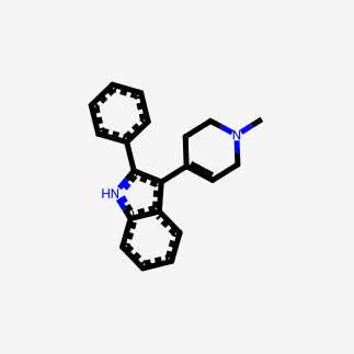 CN1CC=C(c2c(-c3ccccc3)[nH]c3ccccc23)CC1